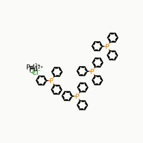 [Cl-].[Cl-].[Pd+2].[Pd+2].c1ccc(P(c2ccccc2)c2ccccc2)cc1.c1ccc(P(c2ccccc2)c2ccccc2)cc1.c1ccc(P(c2ccccc2)c2ccccc2)cc1.c1ccc(P(c2ccccc2)c2ccccc2)cc1